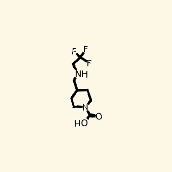 O=C(O)N1CCC(CNCC(F)(F)F)CC1